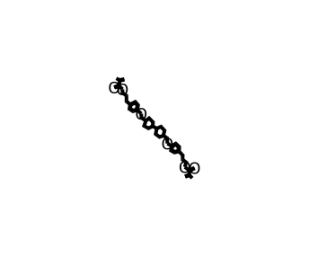 C=C(C)C(=O)OCCCc1ccc(OCC2CCC(C3CCC(COc4ccc(CCCOC(=O)C(=C)C)cc4)CC3)CC2)cc1